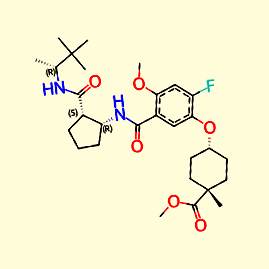 COc1cc(F)c(O[C@H]2CC[C@@](C)(C(=O)OC)CC2)cc1C(=O)N[C@@H]1CCC[C@@H]1C(=O)N[C@H](C)C(C)(C)C